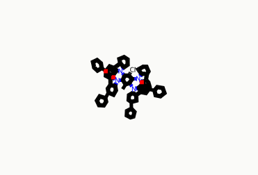 Cc1c(-n2c3ccc(-c4ccccc4)cc3c3cc(-c4ccccc4)ccc32)c(-n2c3ccccc3c3ccccc32)c(C#N)c(-n2c3ccccc3c3ccccc32)c1-n1c2ccc(-c3ccccc3)cc2c2cc(-c3ccccc3)ccc21